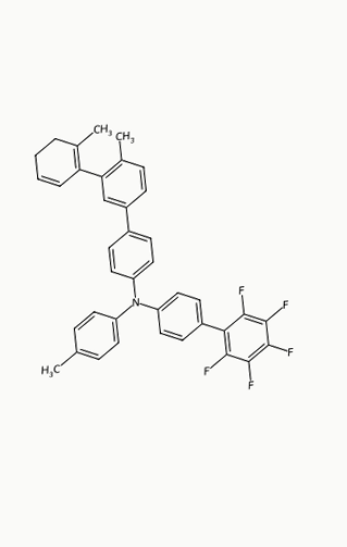 CC1=C(c2cc(-c3ccc(N(c4ccc(C)cc4)c4ccc(-c5c(F)c(F)c(F)c(F)c5F)cc4)cc3)ccc2C)C=CCC1